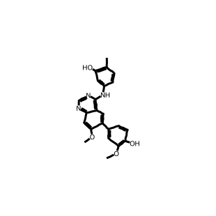 COc1cc(-c2cc3c(Nc4ccc(C)c(O)c4)ncnc3cc2OC)ccc1O